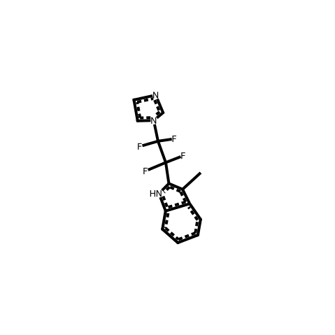 Cc1c(C(F)(F)C(F)(F)n2ccnc2)[nH]c2ccccc12